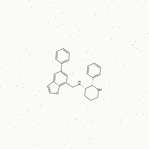 c1ccc(-c2cc(CN[C@H]3CCCN[C@H]3c3ccccc3)c3occc3c2)cc1